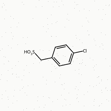 O=S(=O)(O)[CH]c1ccc(Cl)cc1